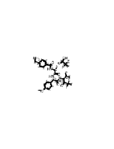 COc1ccc([C@H](NC(=O)[C@H](C)NC(=O)c2ccc(CN)cc2)C(=O)N[C@H](C(=O)C(F)(F)F)C(C)C)cc1.O=C(O)C(F)(F)F